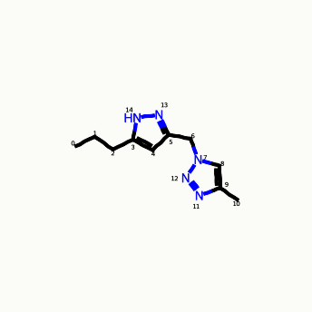 CCCc1cc(Cn2cc(C)nn2)n[nH]1